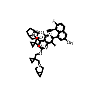 C#Cc1c(F)ccc2cc(O)cc(-c3nc(OC)c4c(N5CC6CCC(C5)N6C(=O)C5(C#N)CC5)nc(OCC5(CN6CC7CC7C6)CC5)nc4c3F)c12